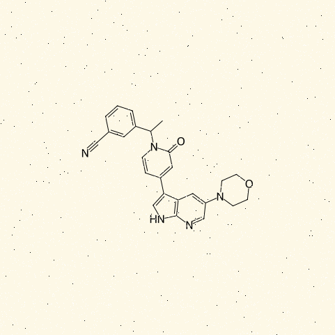 CC(c1cccc(C#N)c1)n1ccc(-c2c[nH]c3ncc(N4CCOCC4)cc23)cc1=O